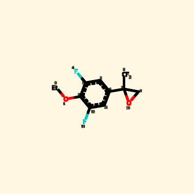 CCOc1c(F)cc(C2(C(F)(F)F)CO2)cc1F